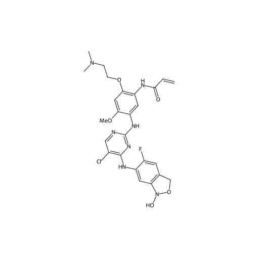 C=CC(=O)Nc1cc(Nc2ncc(Cl)c(Nc3cc4c(cc3F)CON4O)n2)c(OC)cc1OCCN(C)C